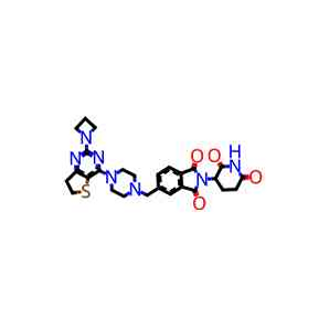 O=C1CCC(N2C(=O)c3ccc(CN4CCN(c5nc(N6CCC6)nc6c5SCC6)CC4)cc3C2=O)C(=O)N1